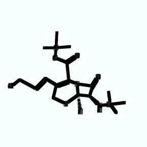 C[Si](C)(C)N[C@@H]1C(=O)N2C(C(=O)O[Si](C)(C)C)=C(/C=C/CCl)CS[C@H]12